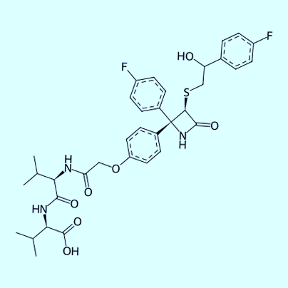 CC(C)[C@@H](NC(=O)[C@H](NC(=O)COc1ccc([C@]2(c3ccc(F)cc3)NC(=O)[C@@H]2SCC(O)c2ccc(F)cc2)cc1)C(C)C)C(=O)O